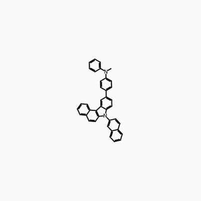 CN(c1ccccc1)c1ccc(-c2ccc3c(c2)c2c4ccccc4ccc2n3-c2ccc3ccccc3c2)cc1